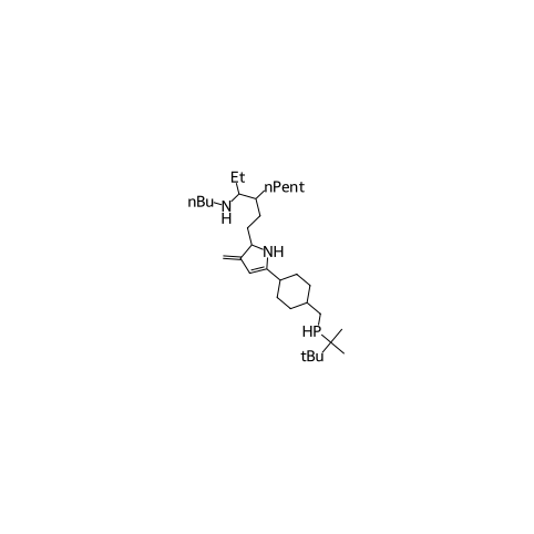 C=C1C=C(C2CCC(CPC(C)(C)C(C)(C)C)CC2)NC1CCC(CCCCC)C(CC)NCCCC